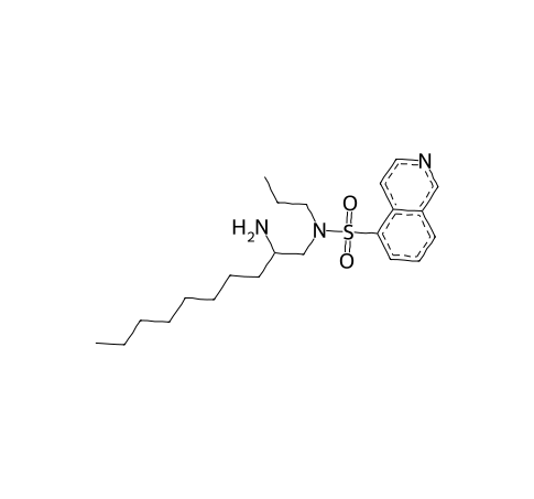 CCCCCCCCC(N)CN(CCC)S(=O)(=O)c1cccc2cnccc12